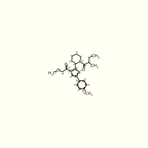 CCC(C)C(=O)N1CCCCC1c1nc(-c2ccc(C)cc2)cn1C(=O)COC